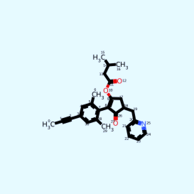 CC#Cc1cc(C)c(C2=C(OC(=O)CC(C)C)CC(Cc3ccccn3)C2=O)c(C)c1